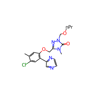 CCCOCn1nc(COc2cc(C)c(Cl)cc2-c2cnccn2)n(C)c1=O